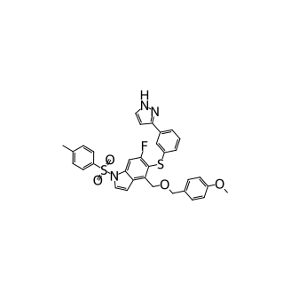 COc1ccc(COCc2c(Sc3cccc(-c4cc[nH]n4)c3)c(F)cc3c2ccn3S(=O)(=O)c2ccc(C)cc2)cc1